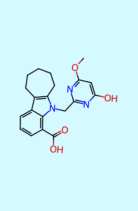 COc1cc(O)nc(Cn2c3c(c4cccc(C(=O)O)c42)CCCCC3)n1